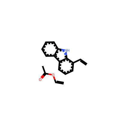 C=COC(C)=O.C=Cc1cccc2c1[nH]c1ccccc12